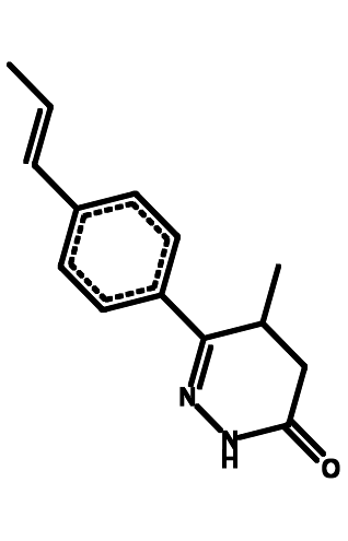 C/C=C/c1ccc(C2=NNC(=O)CC2C)cc1